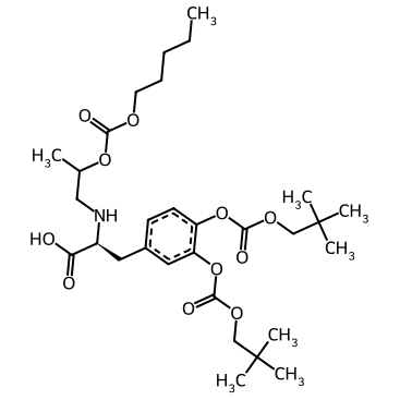 CCCCCOC(=O)OC(C)CN[C@@H](Cc1ccc(OC(=O)OCC(C)(C)C)c(OC(=O)OCC(C)(C)C)c1)C(=O)O